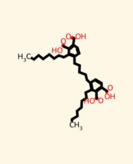 CCCCCCCCc1c(CCCCCc2ccc(C(=O)O)c(C(=O)O)c2CCCCCCCC)ccc(C(=O)O)c1C(=O)O